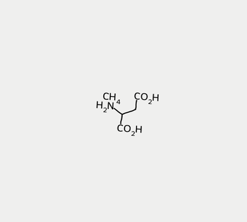 C.NC(CC(=O)O)C(=O)O